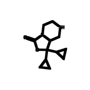 O=C1OC(C2CC2)(C2CC2)C2CNCCN12